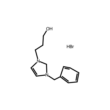 Br.OCCCN1C=CN(Cc2ccccc2)C1